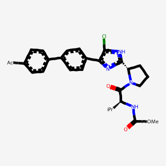 COC(=O)N[C@H](C(=O)N1CCC[C@H]1c1nc(-c2ccc(-c3ccc(C(C)=O)cc3)cc2)c(Cl)[nH]1)C(C)C